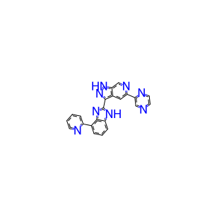 c1ccc(-c2cccc3[nH]c(-c4n[nH]c5cnc(-c6cnccn6)cc45)nc23)nc1